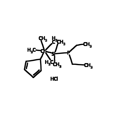 CCP(CC)[Si](C)(C)[Cr]([CH3])([CH3])([CH3])([CH3])[CH]1C=CC=C1.Cl